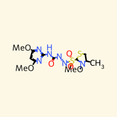 COc1cc(OC)nc(NC(=O)N=NS(=O)(=O)C2SCC(C)N2OC)n1